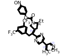 C/C=C(\C=N/C)c1cnc(/C(Cc2cc(C(F)(F)F)cc(C(F)(F)F)c2)=C2\C[C@@H](CC)N(C(=O)Oc3ccc(N=O)cc3)C2)nc1